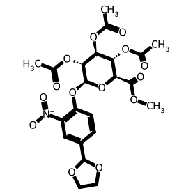 COC(=O)[C@H]1O[C@@H](Oc2ccc(C3OCCO3)cc2[N+](=O)[O-])[C@H](OC(C)=O)[C@@H](OC(C)=O)[C@@H]1OC(C)=O